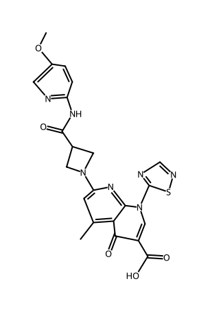 COc1ccc(NC(=O)C2CN(c3cc(C)c4c(=O)c(C(=O)O)cn(-c5ncns5)c4n3)C2)nc1